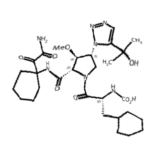 CO[C@@H]1[C@@H](C(=O)NC2(C(=O)C(N)=O)CCCCC2)N(C(=O)[C@@H](CC2CCCCC2)NC(=O)O)C[C@H]1n1nncc1C(C)(C)O